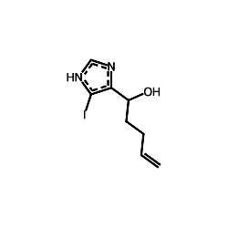 C=CCCC(O)c1nc[nH]c1I